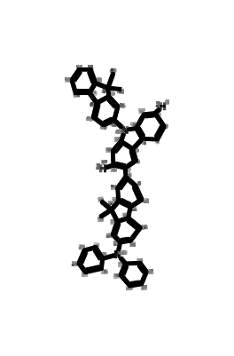 [2H]c1ccc2c3cc(-c4ccc5c(c4)C(C)(C)c4cc(N(c6ccccc6)c6ccccc6)ccc4-5)c([2H])cc3n(-c3ccc4c(c3)C(C)(C)c3ccccc3-4)c2c1